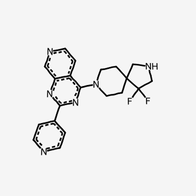 FC1(F)CNCC12CCN(c1nc(-c3ccncc3)nc3cnccc13)CC2